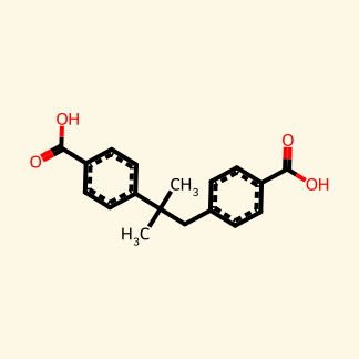 CC(C)(Cc1ccc(C(=O)O)cc1)c1ccc(C(=O)O)cc1